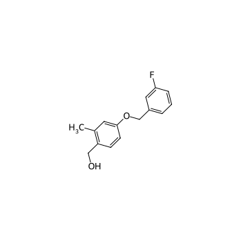 Cc1cc(OCc2cccc(F)c2)ccc1CO